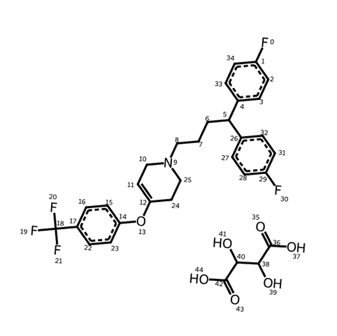 Fc1ccc(C(CCCN2CC=C(Oc3ccc(C(F)(F)F)cc3)CC2)c2ccc(F)cc2)cc1.O=C(O)C(O)C(O)C(=O)O